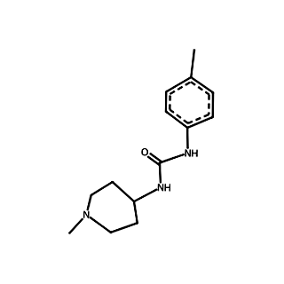 Cc1ccc(NC(=O)NC2CCN(C)CC2)cc1